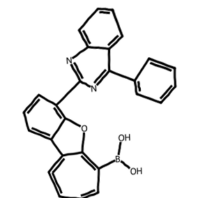 OB(O)C1=c2oc3c(-c4nc(-c5ccccc5)c5ccccc5n4)cccc3c2=C=CC=C1